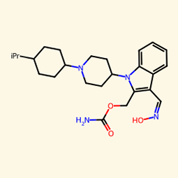 CC(C)C1CCC(N2CCC(n3c(COC(N)=O)c(/C=N\O)c4ccccc43)CC2)CC1